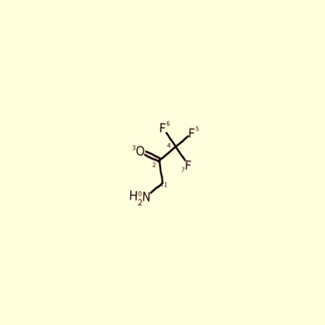 N[CH]C(=O)C(F)(F)F